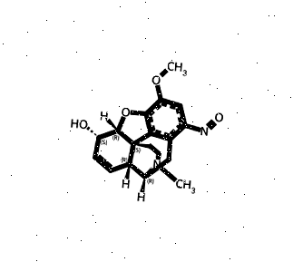 COc1cc(N=O)c2c3c1O[C@H]1[C@@H](O)C=C[C@H]4[C@@H](C2)N(C)CC[C@@]341